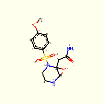 NC(=O)CC12OC1NCCN2S(=O)(=O)c1ccc(OC(F)(F)F)cc1